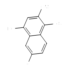 COc1cc(O)c2cc(F)ccc2c1OC(C)=O